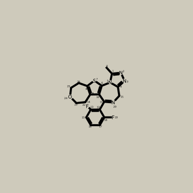 Cc1nnc2n1-c1sc3c(c1C(c1c(F)cccc1F)=NC2)CCOCC3